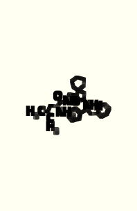 CC(C)CC(N)C(=O)NCCC1(CC(=O)NC(Cc2ccccn2)c2ccccc2)CCCCC1